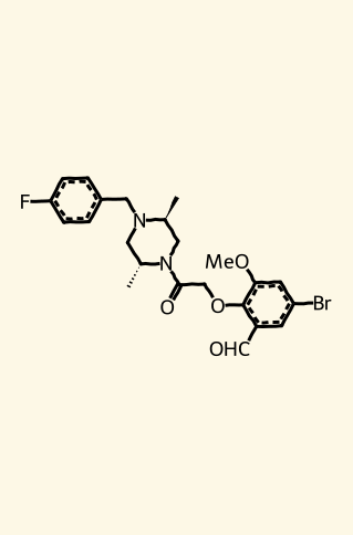 COc1cc(Br)cc(C=O)c1OCC(=O)N1C[C@H](C)N(Cc2ccc(F)cc2)C[C@H]1C